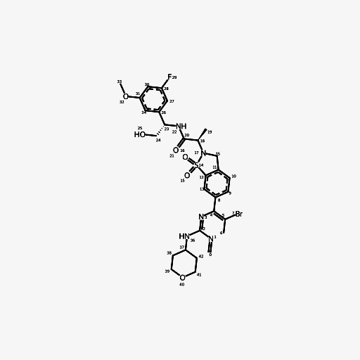 C=N/C(=N\C(=C(/C)Br)c1ccc2c(c1)S(=O)(=O)N([C@H](C)C(=O)N[C@H](CO)c1cc(F)cc(OC)c1)C2)NC1CCOCC1